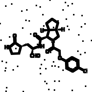 O=C[C@H](C[C@@H]1CCNC1=O)NC(=O)[C@H]1[C@@H]2CCC[C@H]2CN1C(=O)COc1ccc(Cl)cc1